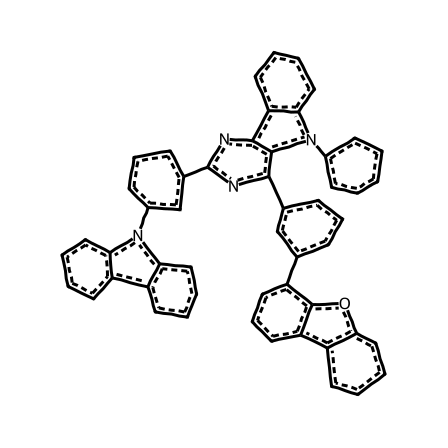 c1ccc(-n2c3ccccc3c3nc(-c4cccc(-n5c6ccccc6c6ccccc65)c4)nc(-c4cccc(-c5cccc6c5oc5ccccc56)c4)c32)cc1